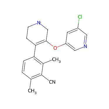 Cc1ccc(C2=C(Oc3cncc(Cl)c3)C[N]CC2)c(C)c1C#N